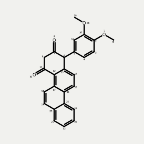 COc1ccc(C2C(=O)CC(=O)c3c2ccc2c3ccc3ccccc32)cc1OC